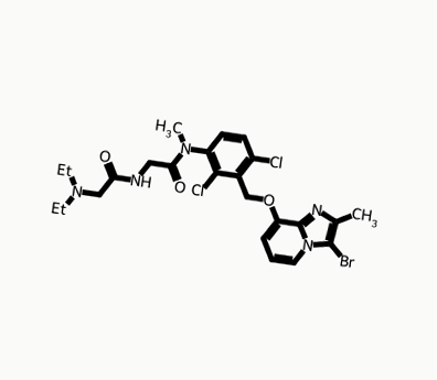 CCN(CC)CC(=O)NCC(=O)N(C)c1ccc(Cl)c(COc2cccn3c(Br)c(C)nc23)c1Cl